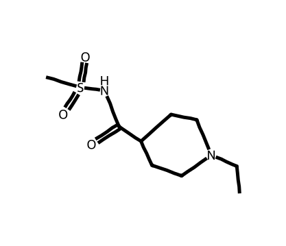 CCN1CCC(C(=O)NS(C)(=O)=O)CC1